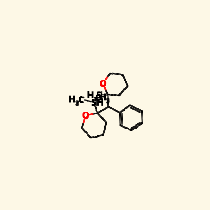 C[SiH](C)C1(C(c2ccccc2)C2([SiH3])CCCCO2)CCCCO1